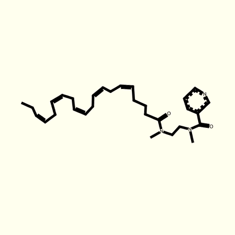 CC/C=C\C/C=C\C/C=C\C/C=C\C/C=C\CCCC(=O)N(C)CCN(C)C(=O)c1cccnc1